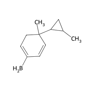 BC1=CCC(C)(C2CC2C)C=C1